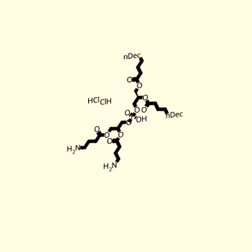 CCCCCCCCCCCCCC(=O)OC[C@H](COP(=O)(O)OCC(COC(=O)CCCN)OC(=O)CCCN)OC(=O)CCCCCCCCCCCCC.Cl.Cl